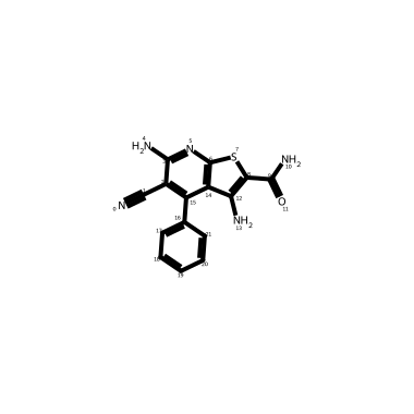 N#Cc1c(N)nc2sc(C(N)=O)c(N)c2c1-c1ccccc1